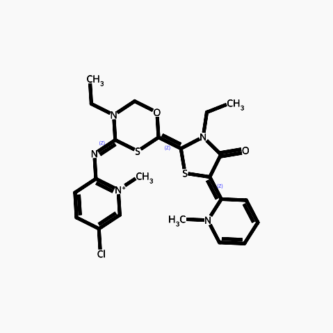 CCN1CO/C(=c2/s/c(=C3/C=CC=CN3C)c(=O)n2CC)S/C1=N\c1ccc(Cl)c[n+]1C